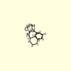 CC(C)OC1=NC2CCCc3cccc(c32)N1